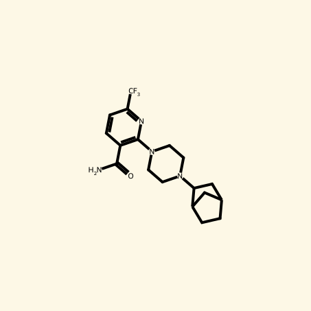 NC(=O)c1ccc(C(F)(F)F)nc1N1CCN(C2CC3CCC2C3)CC1